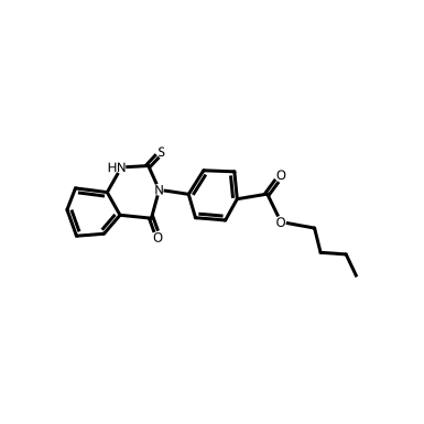 CCCCOC(=O)c1ccc(-n2c(=S)[nH]c3ccccc3c2=O)cc1